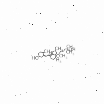 C=C1CC[C@H](O)C/C1=C/C=C1\CCC[C@]2(C)[C@@H]([C@H](C)CCCC(C)(C)O)[C@H](C)C[C@@H]12